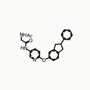 CC(=O)NCC(=O)Nc1ccc(Oc2ccc3c(c2)CC(c2ccccc2)C3)nc1